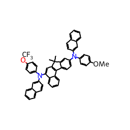 COc1ccc(N(c2ccc3c(c2)C(C)(C)c2cc(N(c4ccc(OC(F)(F)F)cc4)c4ccc5ccccc5c4)c4ccccc4c2-3)c2ccc3ccccc3c2)cc1